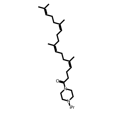 CC(C)=CCCC(C)=CCCC(C)=CCCC(C)=CCCC(=O)N1CCN(C(C)C)CC1